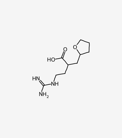 N=C(N)NCCC(CC1CCCO1)C(=O)O